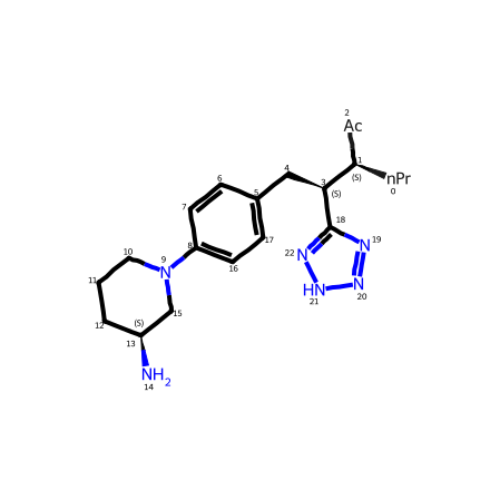 CCC[C@H](C(C)=O)[C@H](Cc1ccc(N2CCC[C@H](N)C2)cc1)c1nn[nH]n1